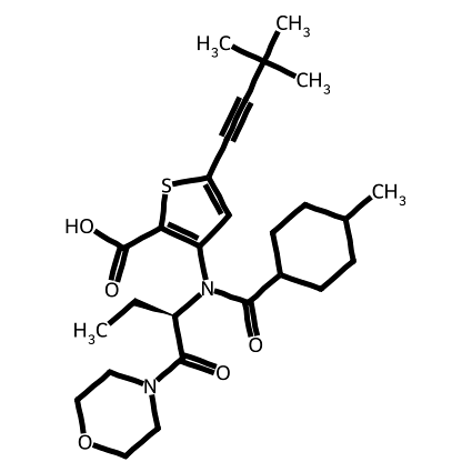 CC[C@H](C(=O)N1CCOCC1)N(C(=O)C1CCC(C)CC1)c1cc(C#CC(C)(C)C)sc1C(=O)O